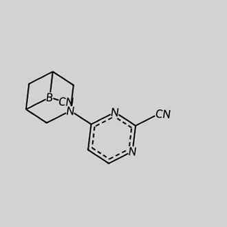 N#CB1C2CC1CN(c1ccnc(C#N)n1)C2